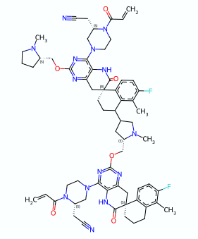 C=CC(=O)N1CCN(c2nc(OC[C@@H]3CC(C4CC[C@@]5(Cc6nc(OC[C@@H]7CCCN7C)nc(N7CCN(C(=O)C=C)[C@@H](CC#N)C7)c6NC5=O)c5ccc(F)c(C)c54)CN3C)nc3c2NC(=O)[C@@]2(CCCc4c2ccc(F)c4C)C3)C[C@@H]1CC#N